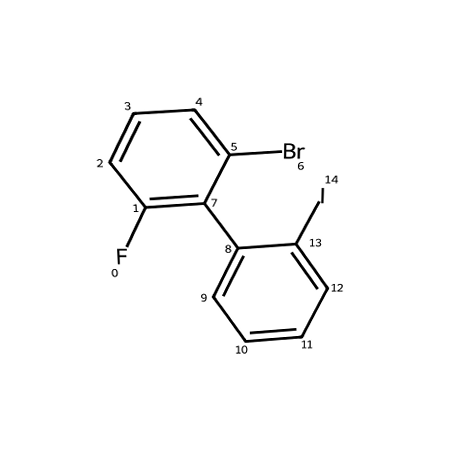 Fc1cccc(Br)c1-c1ccccc1I